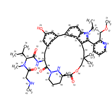 CCn1c(-c2cccnc2[C@H](C)OC)c2c3cc(ccc31)-c1cc(O)cc(c1)C[C@H](NC(=O)[C@H](C(C)C)N(C)C(=O)CNC)C(=O)N1CCC[C@H](N1)C(=O)OCC(C)(C)C2